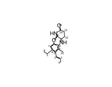 CC=Cc1c(CC)ccc(N[C@H]2CCC(=O)NC2=O)c1C